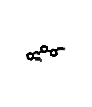 COc1cccc(-c2cccc(/N=C/c3ccccc3[N+](=O)[O-])c2)c1